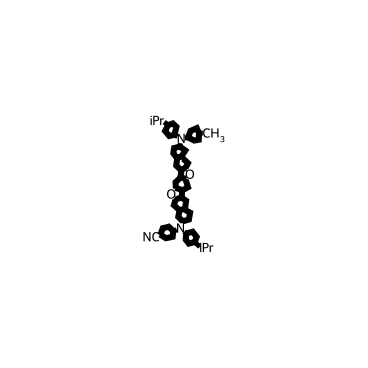 Cc1ccc(N(c2ccc(C(C)C)cc2)c2ccc3cc4c(cc3c2)oc2cc3c(cc24)oc2cc4cc(N(c5ccc(C#N)cc5)c5ccc(C(C)C)cc5)ccc4cc23)cc1